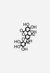 CC(=O)c1cc(O)c(O)c(O)c1Oc1c(O)cc(C(C)=O)c2c1oc(=O)c1cc(O)c(O)c(O)c12